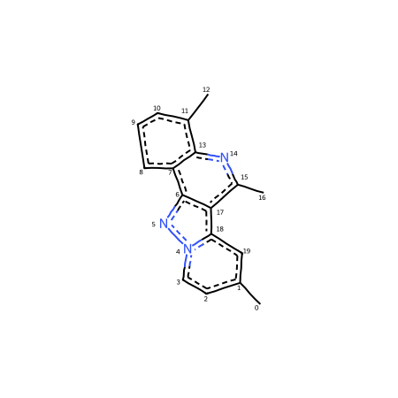 Cc1ccn2nc3c4cccc(C)c4nc(C)c3c2c1